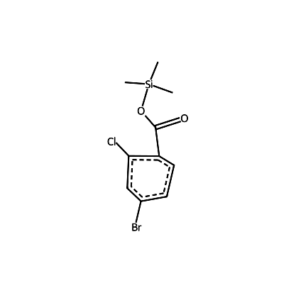 C[Si](C)(C)OC(=O)c1ccc(Br)cc1Cl